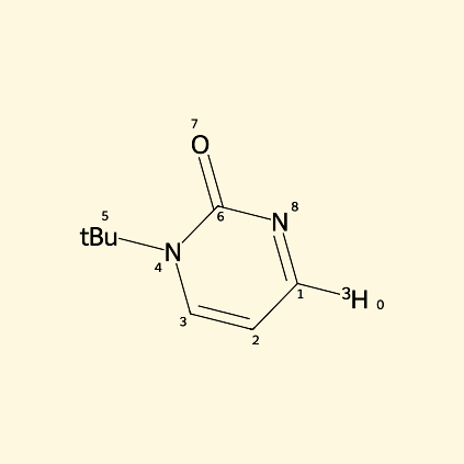 [3H]c1ccn(C(C)(C)C)c(=O)n1